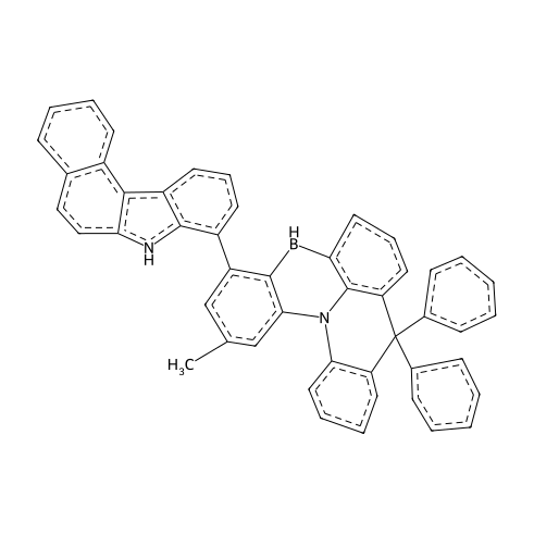 Cc1cc(-c2cccc3c2[nH]c2ccc4ccccc4c23)c2c(c1)N1c3ccccc3C(c3ccccc3)(c3ccccc3)c3cccc(c31)B2